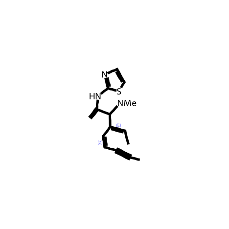 C=C(Nc1nccs1)C(NC)C(/C=C\C#CC)=C/C